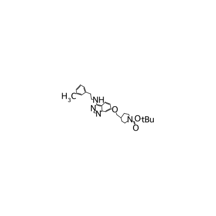 Cc1cccc(CCNc2ncnc3cc(OCC4CCN(C(=O)OC(C)(C)C)CC4)ccc23)c1